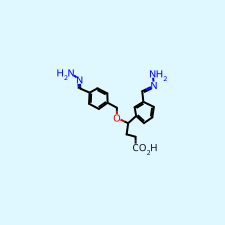 NN=Cc1ccc(COC(CCC(=O)O)c2cccc(C=NN)c2)cc1